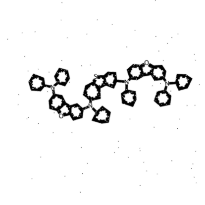 c1ccc(N(c2ccccc2)c2ccc3oc4ccc(N(c5ccccc5)c5ccc6sc7ccc(N(c8ccccc8)c8ccc9oc%10ccc(N(c%11ccccc%11)c%11ccccc%11)cc%10c9c8)cc7c6c5)cc4c3c2)cc1